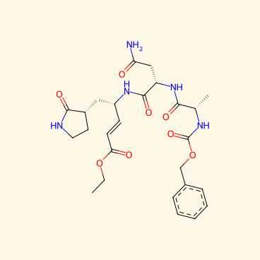 CCOC(=O)/C=C/[C@H](C[C@@H]1CCNC1=O)NC(=O)[C@H](CC(N)=O)NC(=O)[C@H](C)NC(=O)OCc1ccccc1